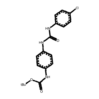 CC(C)(C)OC(=O)Nc1ccc(NC(=O)Nc2ccc(Cl)cc2)cc1